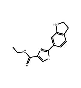 CCOC(=O)c1csc(-c2ccc3c(c2)NCC3)n1